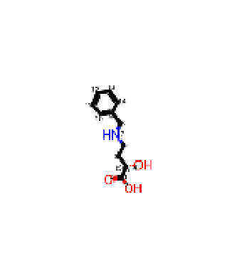 O=C(O)[C@@H](O)CCNCc1ccccc1